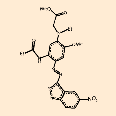 CCC(=O)Nc1cc(N(CC)CC(=O)OC)c(OC)cc1/N=N/c1snc2ccc([N+](=O)[O-])cc12